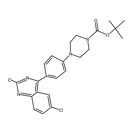 CC(C)(C)OC(=O)N1CCN(c2ccc(-c3nc(Cl)nc4ccc(Cl)cc34)cc2)CC1